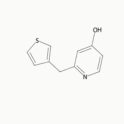 Oc1ccnc(Cc2ccsc2)c1